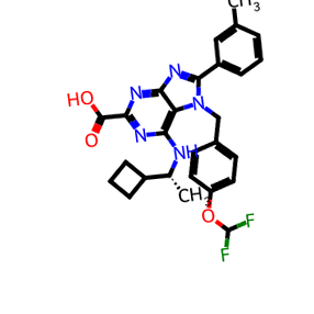 Cc1cccc(-c2nc3nc(C(=O)O)nc(N[C@H](C)C4CCC4)c3n2Cc2ccc(OC(F)F)cc2)c1